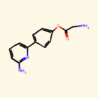 NCC(=O)Oc1ccc(-c2cccc(N)n2)cc1